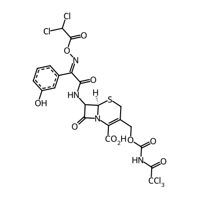 O=C(NC(=O)C(Cl)(Cl)Cl)OCC1=C(C(=O)O)N2C(=O)C(NC(=O)/C(=N/OC(=O)C(Cl)Cl)c3cccc(O)c3)[C@H]2SC1